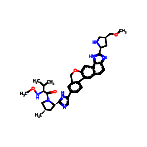 COC[C@@H]1CN[C@H](c2nc3ccc4cc5c(cc4c3[nH]2)OCc2cc(-c3cnc([C@@H]4C[C@H](C)CN4C(=O)[C@@H](NOC)C(C)C)[nH]3)ccc2-5)C1